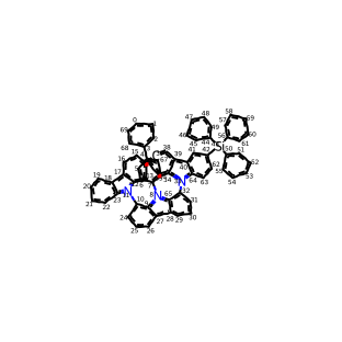 c1ccc(-c2ccc(-n3c4c(-n5c6ccccc6c6ccccc65)cccc4c4cccc(-n5c6ccccc6c6cc([Si](c7ccccc7)(c7ccccc7)c7ccccc7)ccc65)c43)cc2)cc1